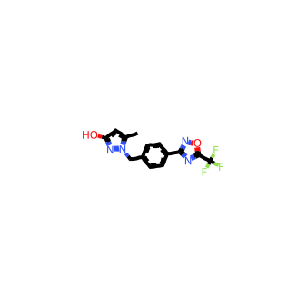 Cc1cc(O)nn1Cc1ccc(-c2noc(C(F)(F)F)n2)cc1